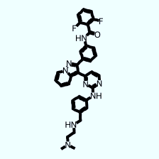 CN(C)CCNCc1cccc(Nc2nccc(-c3c(-c4cccc(NC(=O)c5c(F)cccc5F)c4)nn4ccccc34)n2)c1